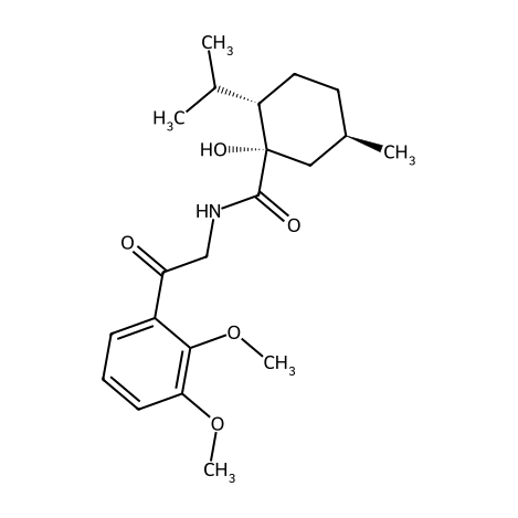 COc1cccc(C(=O)CNC(=O)[C@]2(O)C[C@H](C)CC[C@H]2C(C)C)c1OC